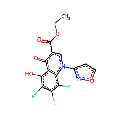 CCOC(=O)c1cn(-c2ccon2)c2c(F)c(F)c(F)c(O)c2c1=O